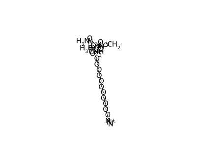 [CH2]c1ccc(NC(=O)[C@H](CCCNC(N)=O)NC(=O)[C@@H](NC(=O)CCOCCOCCOCCOCCOCCOCCOCCOCCOCCOCCOCCN=[N+]=[N-])C(C)C)cc1